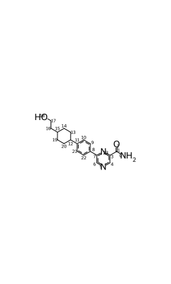 NC(=O)c1cncc(-c2ccc(C3CCC(CCO)CC3)cc2)n1